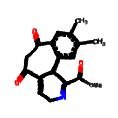 COC(=O)C1=NCC=C2C(=O)CC(=O)c3cc(C)c(C)cc3C21